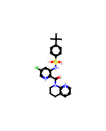 CC(C)(C)c1ccc(S(=O)(=O)Nc2cc(Cl)cnc2C(=O)N2CCCc3cccnc32)cc1